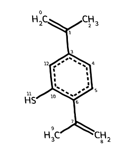 C=C(C)c1ccc(C(=C)C)c(S)c1